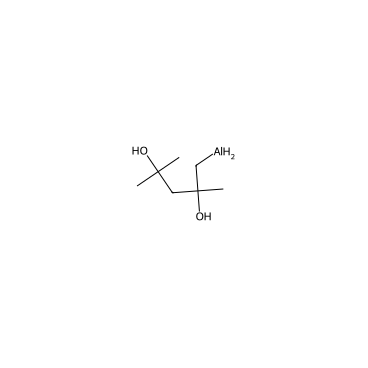 CC(C)(O)CC(C)(O)[CH2][AlH2]